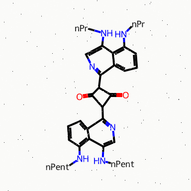 CCCCCNc1cccc2c(C3C(=O)C(c4ncc(NCCC)c5c(NCCC)cccc45)C3=O)ncc(NCCCCC)c12